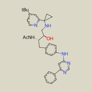 CC(=O)N[C@@H](Cc1ccc(Nc2cc(-c3ccccc3)ncn2)cc1)[C@H](O)CNC1(c2cc(C(C)(C)C)ccn2)CC1